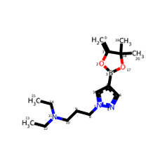 C=C1OB(c2cnn(CCCN(CC)CC)c2)OC1(C)C